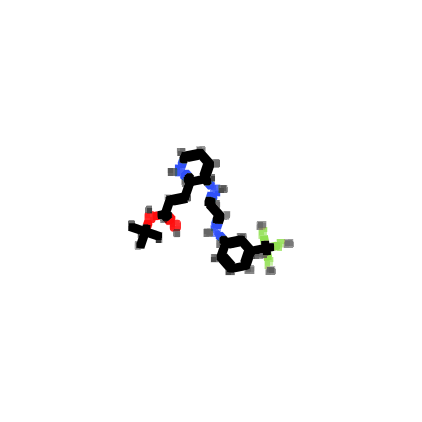 CC(C)(C)OC(=O)/C=C/c1ncccc1N=CC=Nc1cccc(C(F)(F)F)c1